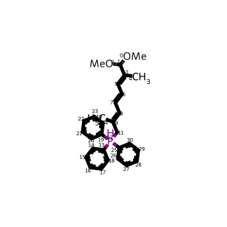 COC(OC)/C(C)=C/C=C/C=C(\C)C[PH](c1ccccc1)(c1ccccc1)c1ccccc1